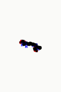 COC(=O)N[C@H](C(=O)N1CCC[C@H]1c1ncc(-c2ccc3cc(-c4ccc(-c5cnc([C@@H]6C[C@@H](c7ccccc7)CN6C(=O)[C@@H](NC(=O)OC)C(C)C)[nH]5)cc4)ccc3c2)[nH]1)C(C)C